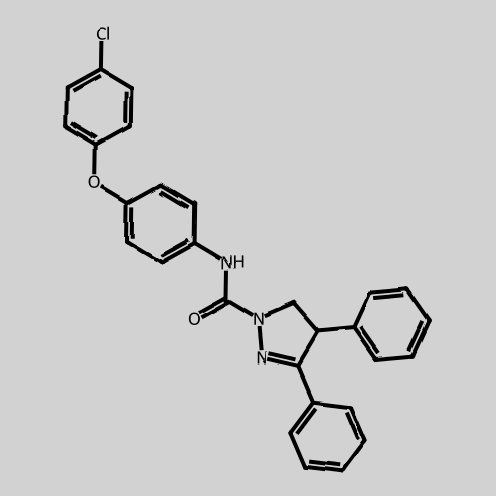 O=C(Nc1ccc(Oc2ccc(Cl)cc2)cc1)N1CC(c2ccccc2)C(c2ccccc2)=N1